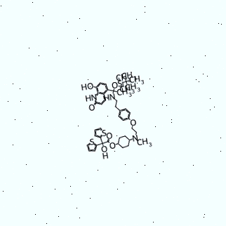 CN(CCOc1ccc(CCNC(C)(O[Si](C)(C)C(C)(C)C)c2ccc(O)c3[nH]c(=O)ccc23)cc1)C1CCC(OC(=O)C(O)(c2cccs2)c2cccs2)CC1